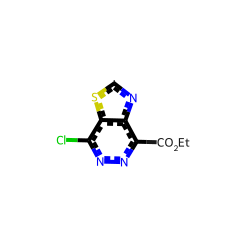 CCOC(=O)c1nnc(Cl)c2s[c]nc12